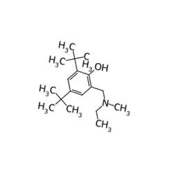 CCN(C)Cc1cc(C(C)(C)C)cc(C(C)(C)C)c1O